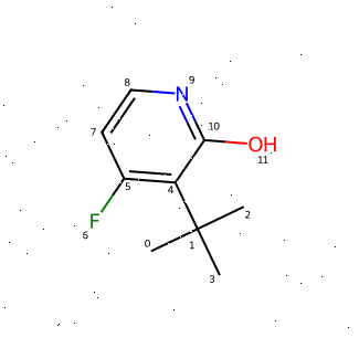 CC(C)(C)c1c(F)ccnc1O